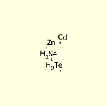 [Cd].[SeH2].[TeH2].[Zn]